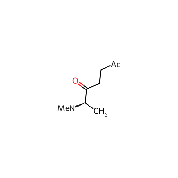 CN[C@H](C)C(=O)CCC(C)=O